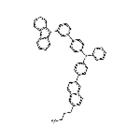 CCCCc1ccc2cc(-c3ccc(N(c4ccccc4)c4ccc(-c5cccc(-n6c7ccccc7c7ccccc76)c5)cc4)cc3)ccc2c1